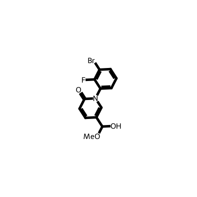 COC(O)c1ccc(=O)n(-c2cccc(Br)c2F)c1